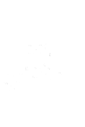 CCn1c(=O)c2cnc(Nc3ccc4c(c3)CCNC43CC3)nc2n1-c1ccc(F)c(C(C)(C)O)c1